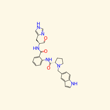 O=C[C@H](Cc1c[nH]cn1)NC(=O)c1ccccc1NC(=O)[C@@H]1CCCN1Cc1ccc2[nH]ccc2c1